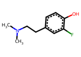 CN(C)CCc1ccc(O)c(F)c1